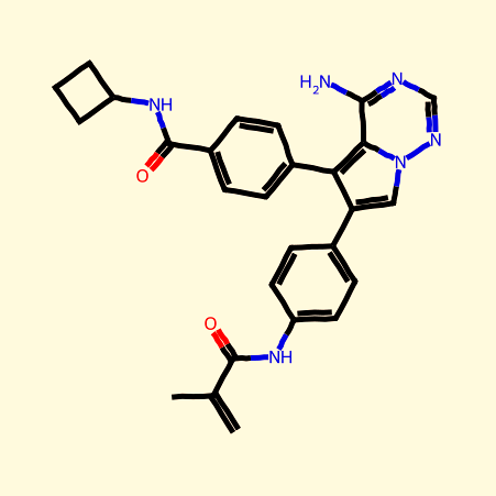 C=C(C)C(=O)Nc1ccc(-c2cn3ncnc(N)c3c2-c2ccc(C(=O)NC3CCC3)cc2)cc1